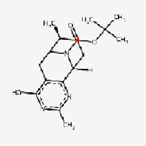 Cc1nc(O)c2c(n1)[C@H]1CC[C@H](C)C(C2)N1C(=O)OC(C)(C)C